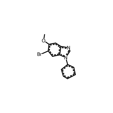 COc1cc2ncn(-c3ccccc3)c2cc1Br